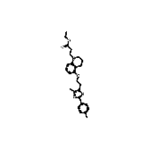 CCOC(=O)CCN1CCCc2c(OCCc3nc(-c4ccc(C)cc4)oc3C)cccc21